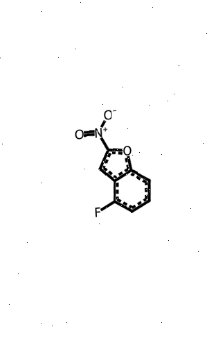 O=[N+]([O-])c1cc2c(F)cccc2o1